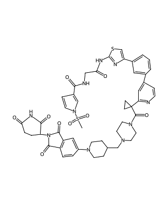 CS(=O)(=O)n1ccc(C(=O)NCC(=O)Nc2nc(-c3cccc(-c4ccnc(C5(C(=O)N6CCN(CC7CCN(c8ccc9c(c8)C(=O)N(C8CCC(=O)NC8=O)C9=O)CC7)CC6)CC5)c4)c3)cs2)c1